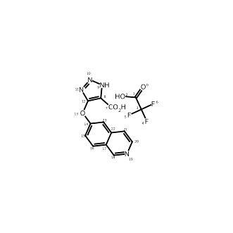 O=C(O)C(F)(F)F.O=C(O)c1[nH]nnc1Oc1ccc2cnccc2c1